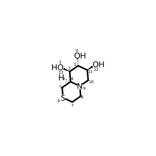 O[C@H]1[C@H](O)[C@@H]2CSCCN2C[C@@H]1O